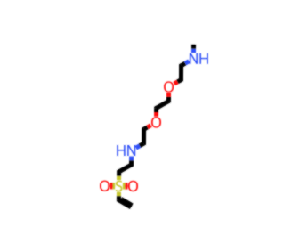 C=CS(=O)(=O)CCNCCOCCOCCNC